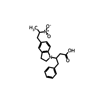 CC(Cc1ccc2c(c1)CCN2C(CC(=O)O)Cc1ccccc1)[N+](=O)[O-]